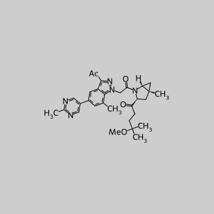 COC(C)(C)CCC(=O)[C@@H]1C[C@@]2(C)C[C@H]2N1C(=O)Cn1nc(C(C)=O)c2cc(-c3cnc(C)nc3)cc(C)c21